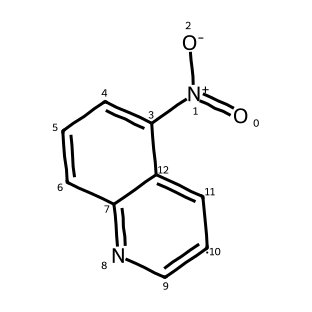 O=[N+]([O-])c1cccc2nc[c]cc12